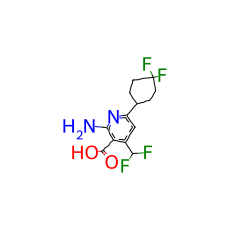 Nc1nc(C2CCC(F)(F)CC2)cc(C(F)F)c1C(=O)O